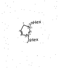 CCCCCCN1C=[N+](CCCCCC)C=CC1